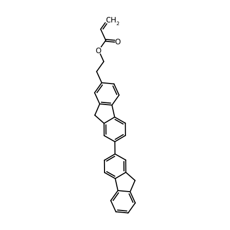 C=CC(=O)OCCc1ccc2c(c1)Cc1cc(-c3ccc4c(c3)Cc3ccccc3-4)ccc1-2